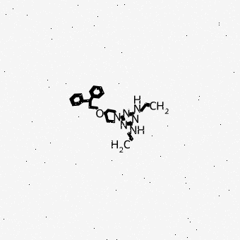 C=CCNc1nc(NCC=C)nc(N2CCC(OCCC(c3ccccc3)c3ccccc3)CC2)n1